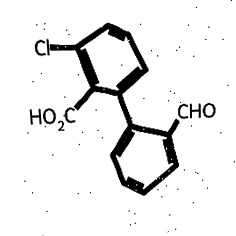 O=Cc1ccccc1-c1cccc(Cl)c1C(=O)O